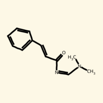 CN(C)/C=N\C(=O)/C=C/c1ccccc1